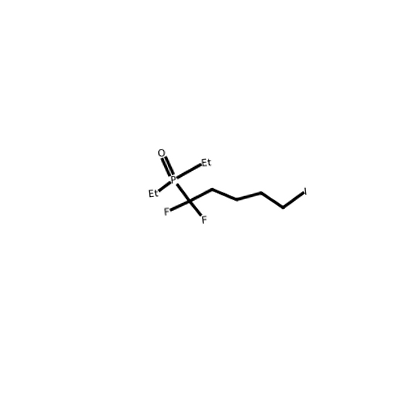 CCP(=O)(CC)C(F)(F)CCCCI